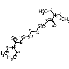 CCN(CC)C(=S)SSSCCSSSC(=S)N(CC)CC